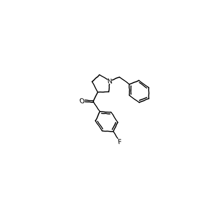 O=C(c1ccc(F)cc1)C1CCN(Cc2ccccc2)C1